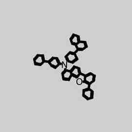 c1ccc(-c2ccc(N(c3ccc(-c4cccc5ccccc45)cc3)c3cccc4c3ccc3c5cccc(-c6ccccc6)c5oc43)cc2)cc1